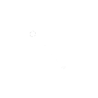 COCCOCCOCCOCCCCc1ccccc1Br